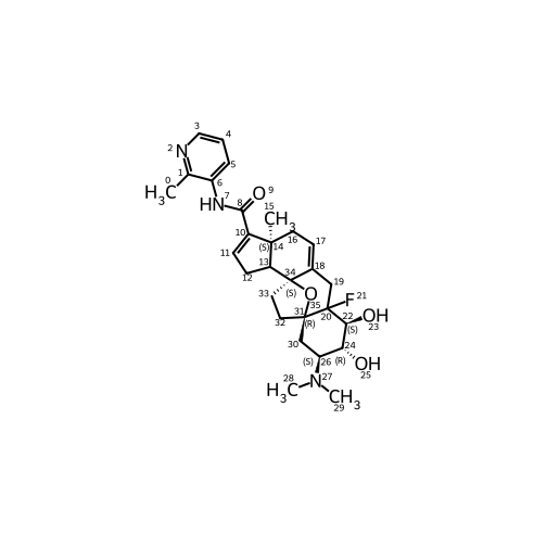 Cc1ncccc1NC(=O)C1=CCC2[C@]1(C)CC=C1CC3(F)[C@@H](O)[C@H](O)[C@@H](N(C)C)C[C@]34CC[C@@]12O4